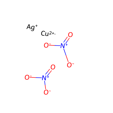 O=[N+]([O-])[O-].O=[N+]([O-])[O-].[Ag+].[Cu+2]